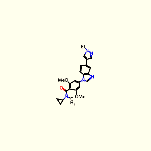 CCn1cc(-c2ccc3c(c2)ncn3-c2cc(OC)c(C(=O)N(C)C3CC3)c(OC)c2)cn1